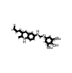 C=C1Nc2ccc(NCSc3cc(C(C)(C)C)c(O)c(C(C)(C)C)c3)cc2C/C1=C/C=C\C